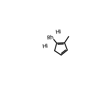 CC1=[C]([Rh])CC=C1.I.I